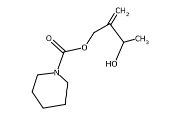 C=C(COC(=O)N1CCCCC1)C(C)O